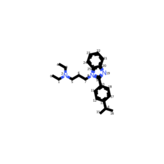 CCN(CC)CCCn1c(-c2ccc(C(C)C)cc2)nc2ccccc21